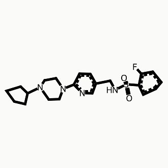 O=S(=O)(NCc1ccc(N2CCN(C3CCCC3)CC2)nc1)c1ccccc1F